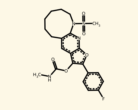 CNC(=O)Oc1c(-c2ccc(F)cc2)oc2nc3c(cc12)CCCCCCN3S(C)(=O)=O